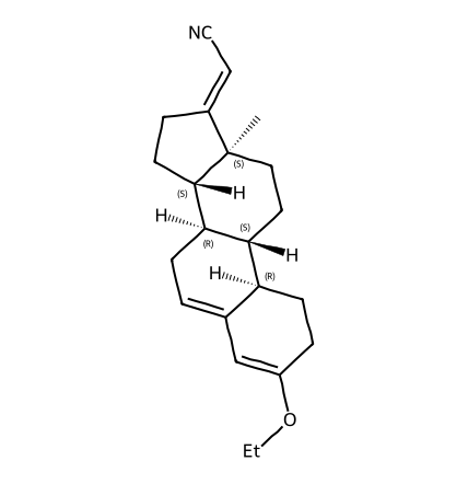 CCOC1=CC2=CC[C@@H]3[C@H](CC[C@]4(C)C(=CC#N)CC[C@@H]34)[C@H]2CC1